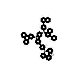 c1ccc(-c2ccc(N(c3ccc(-c4cccc5ccccc45)cc3)c3ccc4c(c3)c3cc(-c5ccc(N(c6ccccc6)c6cccc7oc8ccccc8c67)cc5)ccc3n4-c3ccc4c5ccccc5c5ccccc5c4c3)c3ccccc23)cc1